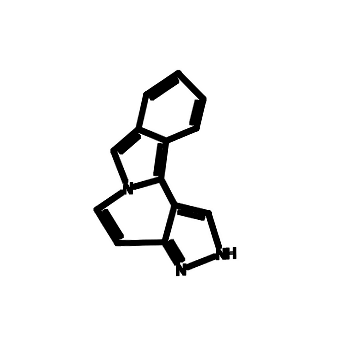 c1ccc2c(c1)cn1ccc3n[nH]cc3c21